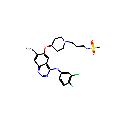 COc1cc2ncnc(Nc3ccc(F)c(Cl)c3)c2cc1OC1CCN(CCCNS(C)(=O)=O)CC1